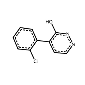 Oc1nnccc1-c1ccccc1Cl